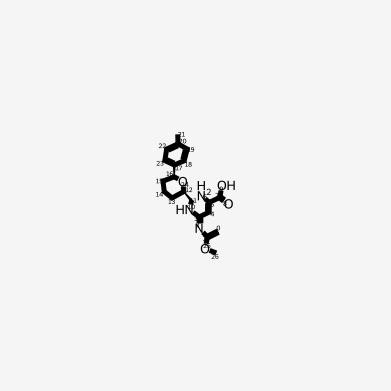 C=C(/N=C(\C=C(/N)C(=O)O)NC[C@H]1CCC[C@@H](c2ccc(C)cc2)O1)OC